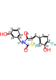 O=C1SC(=Cc2ccc(F)c(O)c2F)C(=O)N1Cc1cccc(O)c1